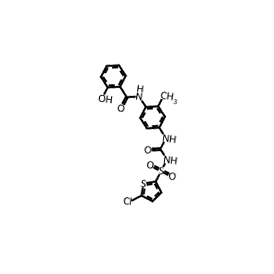 Cc1cc(NC(=O)NS(=O)(=O)c2ccc(Cl)s2)ccc1NC(=O)c1ccccc1O